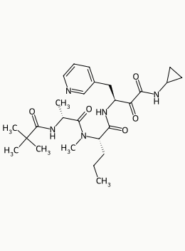 CCC[C@@H](C(=O)N[C@@H](Cc1cccnc1)C(=O)C(=O)NC1CC1)N(C)C(=O)[C@@H](C)NC(=O)C(C)(C)C